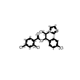 O=C(OC(c1ccc(Cl)cc1)C(Cl)n1ccnc1)c1ccc(Cl)cc1Cl